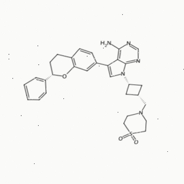 Nc1ncnc2c1c(-c1ccc3c(c1)O[C@H](c1ccccc1)CC3)cn2[C@H]1C[C@@H](CN2CCS(=O)(=O)CC2)C1